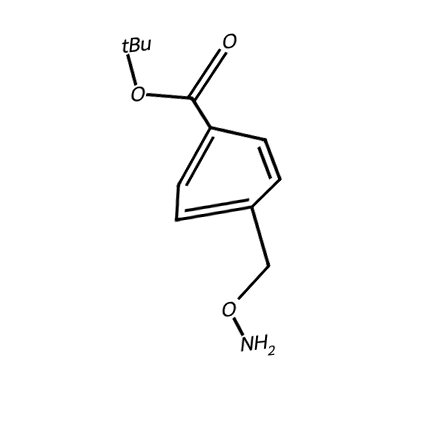 CC(C)(C)OC(=O)c1ccc(CON)cc1